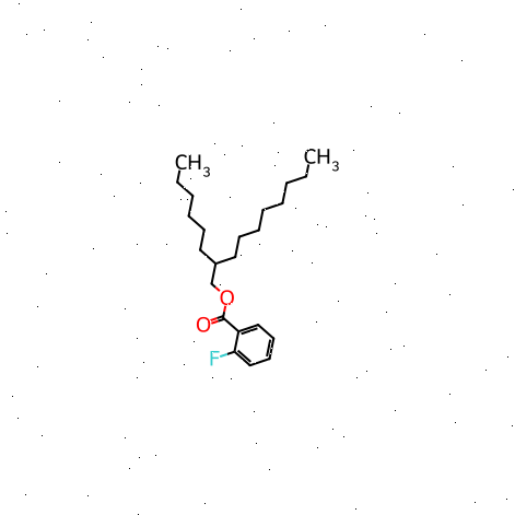 CCCCCCCCC(CCCCCC)COC(=O)c1ccccc1F